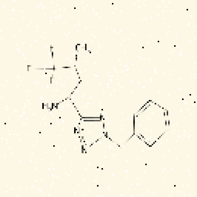 CC(CC(N)c1nnn(Cc2ccccc2)n1)C(F)(F)F